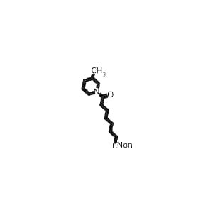 CCCCCCCCCCCCCCCC(=O)N1CCCC(C)C1